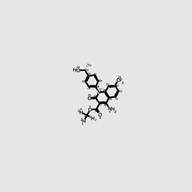 [2H]C([2H])([2H])OC(=O)c1c(N)c2ccc(C(F)(F)F)cc2n(-c2ccc([C@@H](C)O)cc2)c1=O